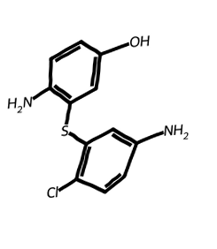 Nc1ccc(Cl)c(Sc2cc(O)ccc2N)c1